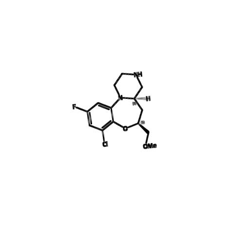 COC[C@@H]1C[C@@H]2CNCCN2c2cc(F)cc(Cl)c2O1